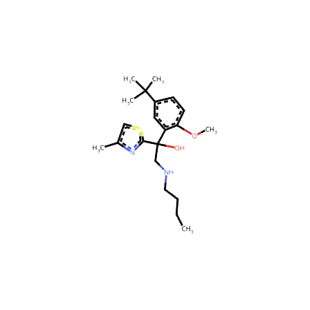 CCCCNCC(O)(c1nc(C)cs1)c1cc(C(C)(C)C)ccc1OC